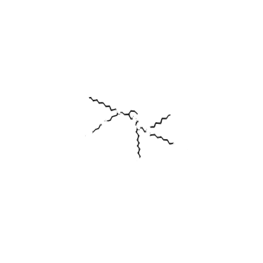 CCCCCCCCCCN(CCCC(=O)OCCCCC)CCC1CCCN(C(=O)CN(CCCCCCCCC)CCN(CCCCCCCCC)CCCCCCCCC)C1